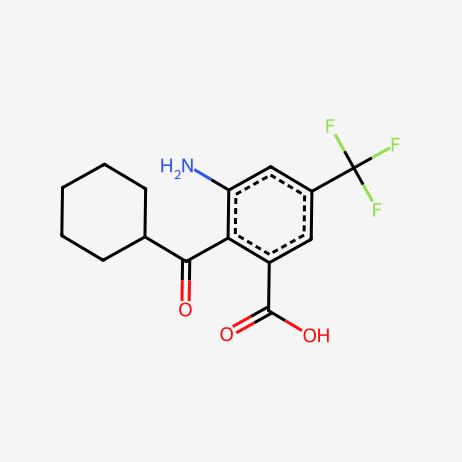 Nc1cc(C(F)(F)F)cc(C(=O)O)c1C(=O)C1CCCCC1